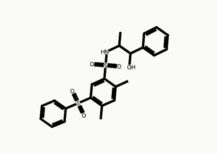 Cc1cc(C)c(S(=O)(=O)c2ccccc2)cc1S(=O)(=O)NC(C)C(O)c1ccccc1